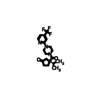 CC(C)[C@]1(C(=O)N2CCN(c3cc(C(F)(F)F)ccn3)CC2)CCC(=O)C1